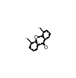 [CH]c1cccc2c(=O)c3cccc([CH])c3oc12